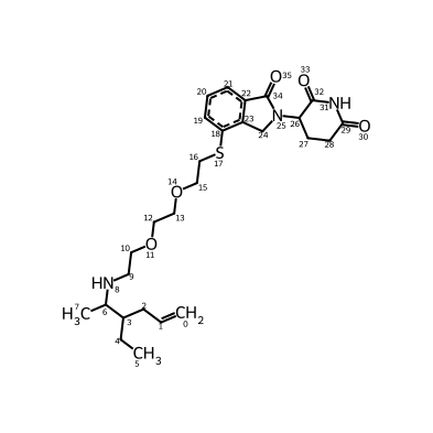 C=CCC(CC)C(C)NCCOCCOCCSc1cccc2c1CN(C1CCC(=O)NC1=O)C2=O